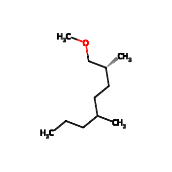 CCCC(C)CC[C@@H](C)COC